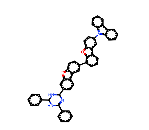 c1ccc(C2=NC(c3ccc4c(c3)oc3ccc(-c5cccc6c5oc5ccc(-n7c8ccccc8c8ccccc87)cc56)cc34)NC(c3ccccc3)N2)cc1